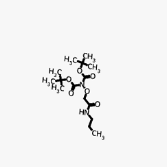 CCCNC(=O)CON(C(=O)OC(C)(C)C)C(=O)OC(C)(C)C